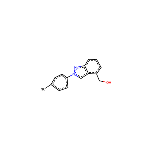 N#Cc1ccc(-n2cc3c(CO)cccc3n2)cc1